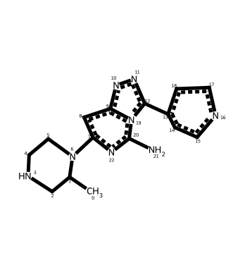 CC1CNCCN1c1cc2nnc(-c3ccncc3)n2c(N)n1